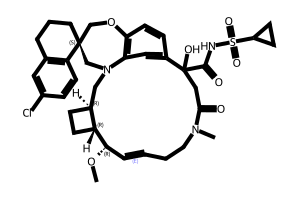 CO[C@H]1/C=C/CCN(C)C(=O)CC(O)(C(=O)NS(=O)(=O)C2CC2)c2ccc3c(c2)N(C[C@@H]2CC[C@H]21)C[C@@]1(CCCc2cc(Cl)ccc21)CO3